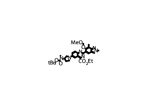 CCOC(=O)c1nc(-c2cc3cn(C)nc3c(C)c2OCOC)nc2ccc(N3CC[C@@H](N(C)C(=O)OC(C)(C)C)C3)cc12